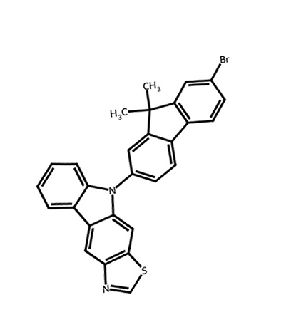 CC1(C)c2cc(Br)ccc2-c2ccc(-n3c4ccccc4c4cc5ncsc5cc43)cc21